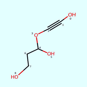 OC#COC(O)CCO